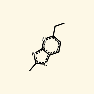 CCc1ccc2oc(C)nc2n1